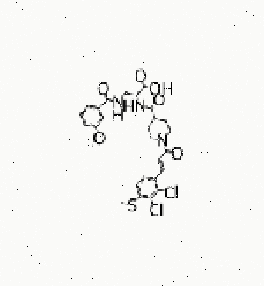 COc1cccc(C(=O)NC[C@H](NC(=O)C2CCN(C(=O)C=Cc3ccc(SC)c(Cl)c3Cl)CC2)C(=O)O)c1